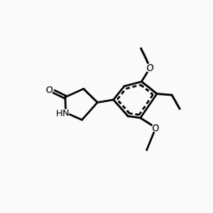 CCc1c(OC)cc(C2CNC(=O)C2)cc1OC